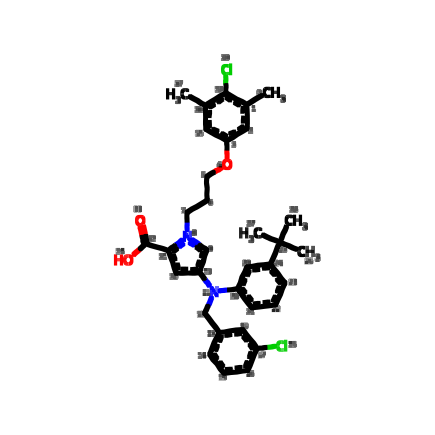 Cc1cc(OCCCn2cc(N(Cc3cccc(Cl)c3)c3cccc(C(C)(C)C)c3)cc2C(=O)O)cc(C)c1Cl